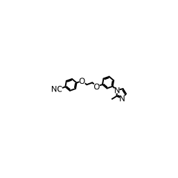 Cc1nccn1-c1cccc(OCCOc2ccc(C#N)cc2)c1